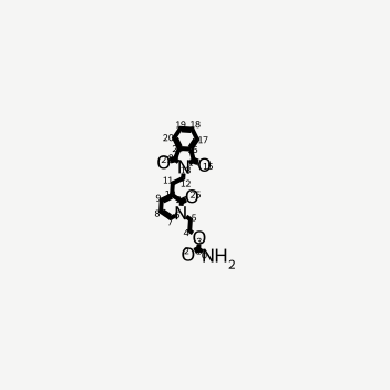 NC(=O)OCCn1cccc(CCN2C(=O)c3ccccc3C2=O)c1=O